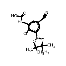 CC1(C)OB(c2cc(C#N)cc(NC(=O)O)c2Cl)OC1(C)C